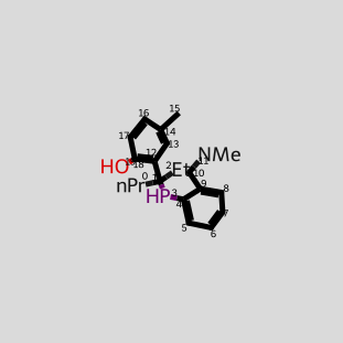 CCCC(CC)(Pc1ccccc1CNC)c1cc(C)ccc1O